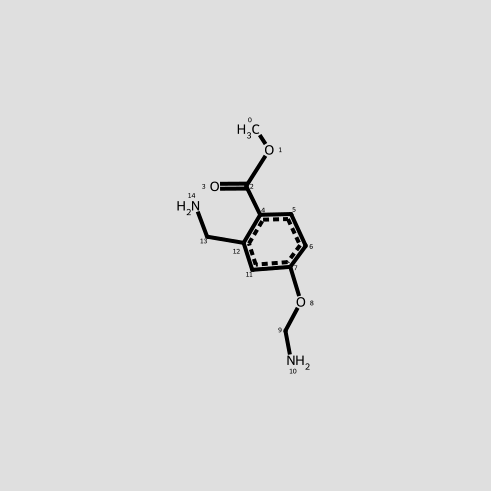 COC(=O)c1ccc(OCN)cc1CN